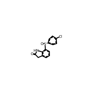 O=C1Cc2cccc([S+]([O-])c3ccc(Cl)cc3)c2N1